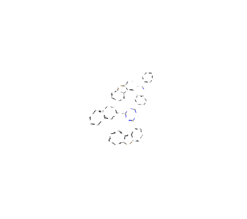 C1=c2sc3ccccc3c2=C2c3cc(-c4nc(-c5ccc6ccccc6c5)nc(-c5cccc6sc7ccccc7c56)n4)ccc3N=C(c3ccccc3)C2C1